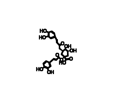 O=C(/C=C/c1ccc(O)c(O)c1)C[C@@H]1C[C@@](OC(=O)/C=C/c2ccc(O)c(O)c2)(C(=O)O)C[C@@H](O)[C@@H]1O